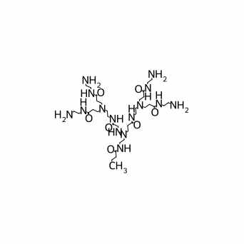 CCCC(=O)NCCN(CCC(=O)NCCN(CCC(=O)NCCN)CCC(=O)NCCN)NCC(=O)NCCN(CCC(=O)NCCN)CCC(=O)NCCN